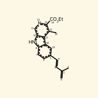 C=C(C)C=Cc1ccc2[nH]c3cnc(C(=O)OCC)c(C)c3c2c1